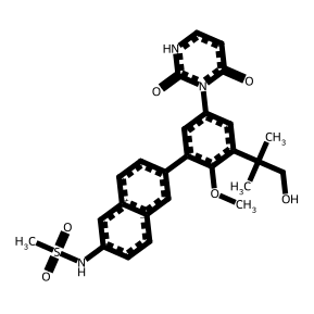 COc1c(-c2ccc3cc(NS(C)(=O)=O)ccc3c2)cc(-n2c(=O)cc[nH]c2=O)cc1C(C)(C)CO